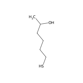 CC(O)CCCCS